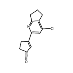 O=C1C=C(c2cc(Cl)c3c(n2)CCC3)CC1